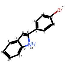 Brc1ccc(-c2[c]c3ccccc3[nH]2)cc1